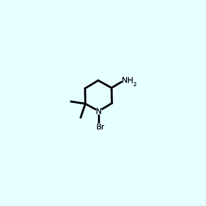 CC1(C)CCC(N)CN1Br